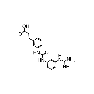 N=C(N)Nc1cccc(NC(=O)Nc2cccc(CCC(=O)O)c2)c1